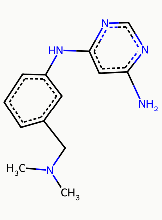 CN(C)Cc1cccc(Nc2cc(N)ncn2)c1